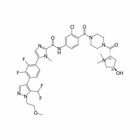 COCCn1ncc(-c2ccc(-c3cnc(C(=O)Nc4ccc(C(=O)N5CCN(C(=O)[C@@H]6C[C@@H](O)C[N+]6(C)C)CC5)c(Cl)c4)n3C)c(F)c2F)c1C(F)F